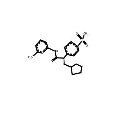 Cc1cccc(NC(=O)[C@H](CC2CCCC2)c2ccc(S(C)(=O)=O)cc2)n1